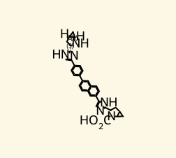 O=C(O)N1C(c2ncc(-c3ccc4cc(-c5ccc(-c6c[nH]c([C@@H]7C[C@@H]8C[C@H]8N7)n6)cc5)ccc4c3)[nH]2)CC2CC21